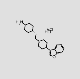 Cl.Cl.N[C@H]1CC[C@H](CCN2CCC(c3coc4ccccc34)CC2)CC1